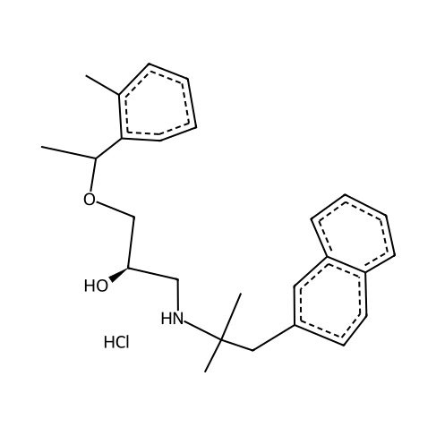 Cc1ccccc1C(C)OC[C@H](O)CNC(C)(C)Cc1ccc2ccccc2c1.Cl